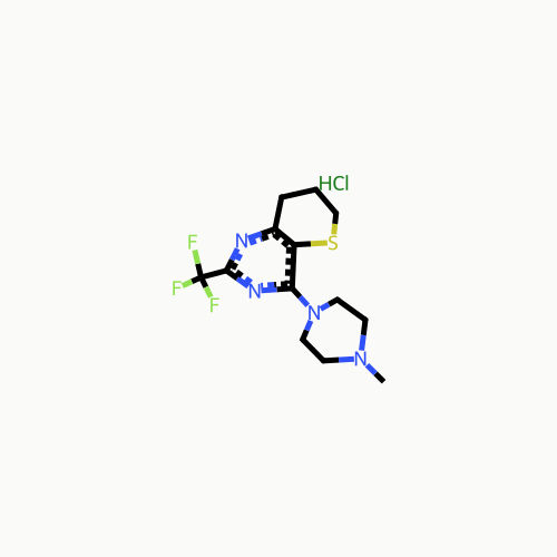 CN1CCN(c2nc(C(F)(F)F)nc3c2SCCC3)CC1.Cl